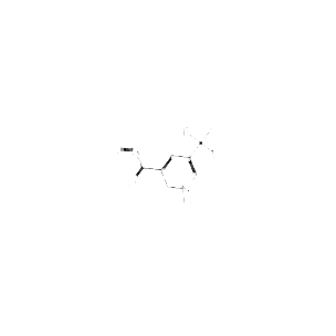 O=NC(=O)C1=CC(C(F)(F)F)=CNC1